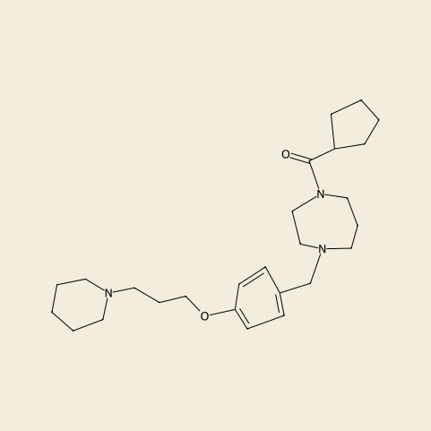 O=C(C1CCCC1)N1CCCN(Cc2ccc(OCCCN3CCCCC3)cc2)CC1